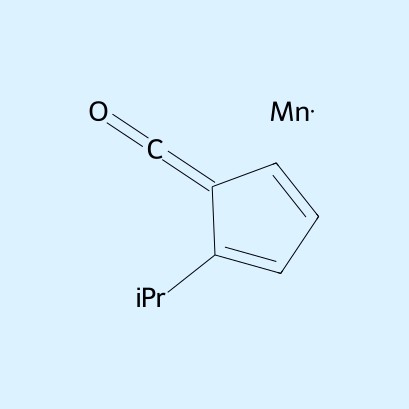 CC(C)C1=CC=CC1=C=O.[Mn]